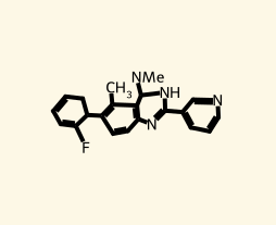 CNC1NC(c2cccnc2)=Nc2ccc(C3CC=CC=C3F)c(C)c21